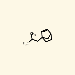 CC(C)CC12C=CC(CC1)C2